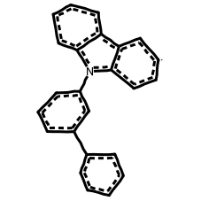 [c]1ccc2c(c1)c1ccccc1n2-c1cccc(-c2ccccc2)c1